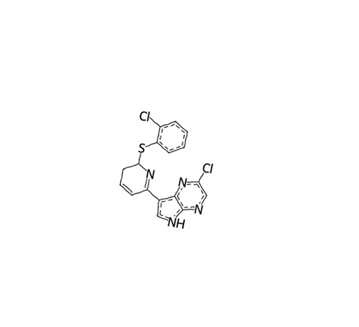 Clc1cnc2[nH]cc(C3=NC(Sc4ccccc4Cl)CC=C3)c2n1